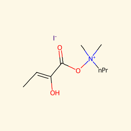 CC=C(O)C(=O)O[N+](C)(C)CCC.[I-]